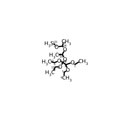 CCOC(OCC)C(OCC)(OCC)OC(C)OC(C)O[SiH3]